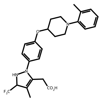 CC1=C(CC(=O)O)N(c2ccc(OC3CCN(c4ccccc4C)CC3)cc2)NC1C(F)(F)F